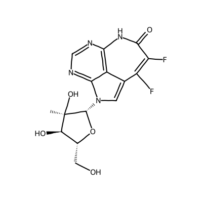 C[C@@]1(O)[C@H](O)[C@@H](CO)O[C@H]1n1cc2c3c(ncnc31)NC(=O)C(F)=C2F